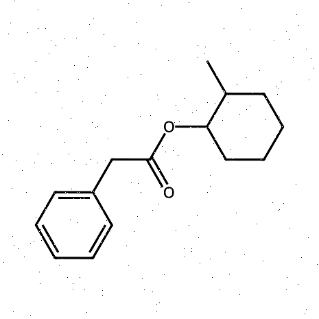 CC1CCCCC1OC(=O)Cc1ccccc1